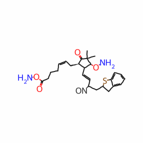 CC1(C)C(=O)[C@H](C/C=C\CCCC(=O)ON)C(/C=C/C(CC2Cc3ccccc3S2)N=O)[C@@H]1ON